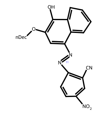 CCCCCCCCCCOc1cc(/N=N/c2ccc([N+](=O)[O-])cc2C#N)c2ccccc2c1O